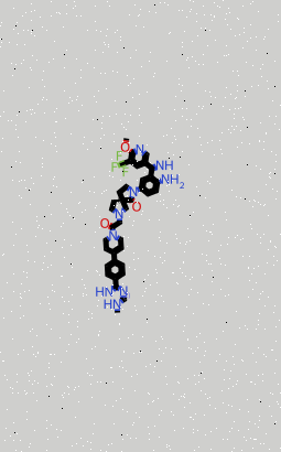 CN/C=N\C(=N)c1ccc(C2=CCN(C(=O)CN3CC[C@]4(CCN(c5ccc(N)c(C(=N)c6cnc(OC)c(C(F)(F)F)c6)c5)C4=O)C3)CC2)cc1